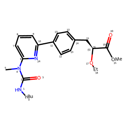 CCCCNC(=O)N(C)c1cccc(-c2ccc(C[C@H](OCC)C(=O)OC)cc2)n1